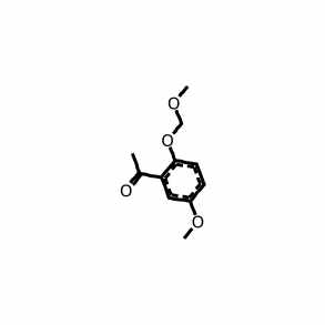 COCOc1ccc(OC)cc1C(C)=O